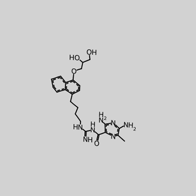 Cc1nc(C(=O)NC(=N)NCCCCc2ccc(OCC(O)CO)c3ccccc23)c(N)nc1N